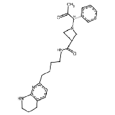 CC(=O)[C@H](c1ccccc1)N1CC(C(=O)NCCCCc2ccc3c(n2)NCCC3)C1